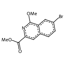 COC(=O)c1cc2ccc(Br)cc2c(OC)n1